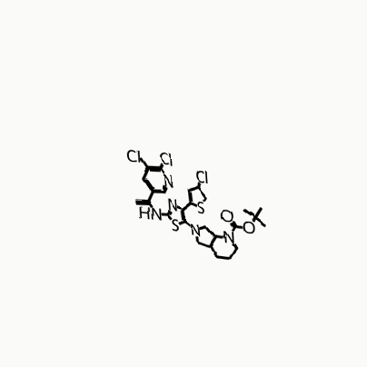 C=C(Nc1nc(C2=CC(Cl)CS2)c(N2CC3CCCN(C(=O)OC(C)(C)C)C3C2)s1)c1cnc(Cl)c(Cl)c1